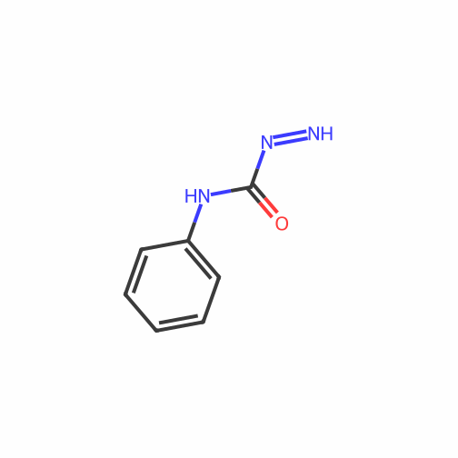 N=NC(=O)Nc1ccccc1